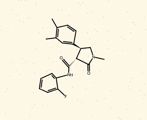 Cc1ccc([C@H]2CN(C)C(=O)[C@@H]2C(=O)Nc2ccccc2F)cc1C